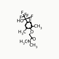 Cc1cc(C(O)(C(F)(F)F)C(F)(F)F)cc(C)c1OCC(=O)N(C)C